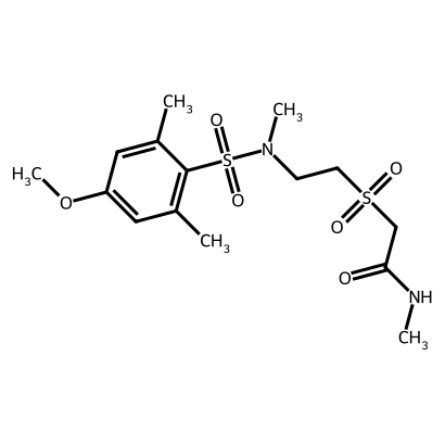 CNC(=O)CS(=O)(=O)CCN(C)S(=O)(=O)c1c(C)cc(OC)cc1C